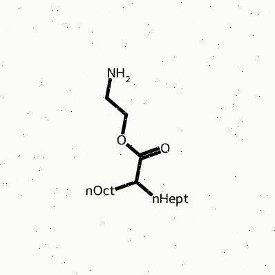 CCCCCCCCC(CCCCCCC)C(=O)OCCN